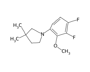 COc1c(N2CCC(C)(C)C2)ccc(F)c1F